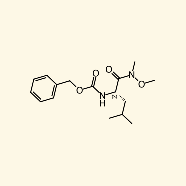 CON(C)C(=O)[C@H](CC(C)C)NC(=O)OCc1ccccc1